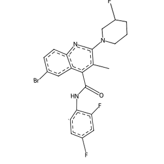 Cc1c(N2CCCC(F)C2)nc2ccc(Br)cc2c1C(=O)Nc1[c]cc(F)cc1F